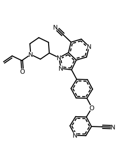 C=CC(=O)N1CCCC(n2nc(-c3ccc(Oc4ccncc4C#N)cc3)c3cncc(C#N)c32)C1